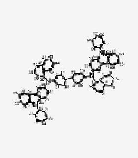 C1=Cc2c(cccc2N(c2ccc(-c3ccc(N(c4ccc5c(c4)c4ccccc4n5-c4ccccc4)c4cccc5ccccc45)cc3)cc2)c2ccc3c(c2)c2ccccc2n3-c2ccccc2)CC1